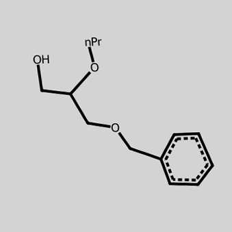 CCCOC(CO)COCc1ccccc1